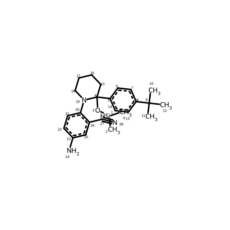 C[SiH](C)OC1(c2ccc(C(C)(C)C)cc2)CCCCN1c1ccc(N)cc1C#N